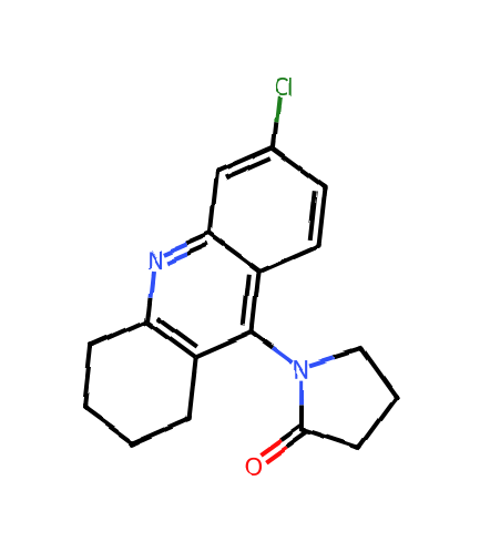 O=C1CCCN1c1c2c(nc3cc(Cl)ccc13)CCCC2